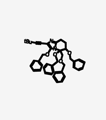 CC(C)(C)C#Cc1nc2n(c1OCc1ccccc1)C(COCc1ccccc1)(OCc1ccccc1)C(OCc1ccccc1)CC2